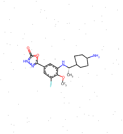 C[C@H](Nc1cc(-c2n[nH]c(=O)o2)cc(F)c1OC(F)(F)F)C1CCC(N)CC1